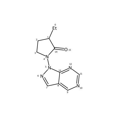 CCC1CCN(n2ncc3cncnc32)C1=O